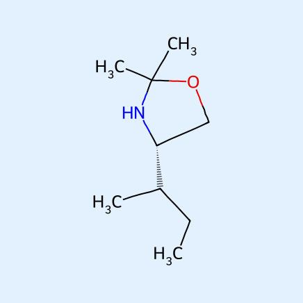 CCC(C)[C@H]1COC(C)(C)N1